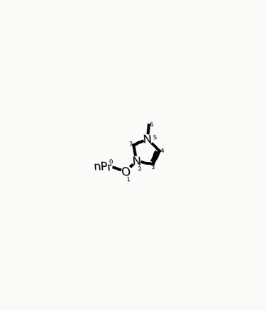 CCCON1C=CN(C)C1